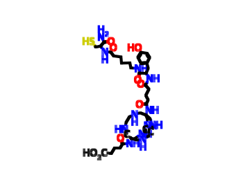 NC(=O)C(CS)NC(=O)CCCCCNC(=O)C(Cc1ccc(O)cc1)NC(=O)CCCC(=O)NC12CNCCNCC(NC(=O)CCCC(=O)O)(CNCCNC1)CNCCNC2